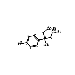 CCOC(=O)CC(C#N)(CC(=O)OCC)c1ccc(C(C)C)cc1